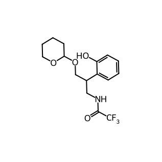 O=C(NCC(COC1CCCCO1)c1ccccc1O)C(F)(F)F